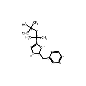 CC(C)(CC(O)(C=O)C(F)(F)F)C1=COC(Cc2ccccc2)O1